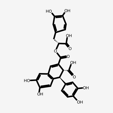 O=C(O[C@H](Cc1ccc(O)c(O)c1)C(=O)O)C1=Cc2cc(O)c(O)cc2[C@H](c2ccc(O)c(O)c2)[C@H]1C(=O)O